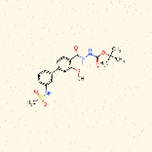 COc1cc(-c2cccc(NS(C)(=O)=O)c2)ccc1C(=O)NNC(=O)OC(C)(C)C